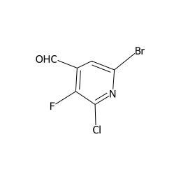 O=Cc1cc(Br)nc(Cl)c1F